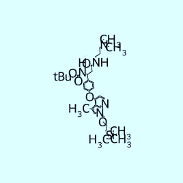 Cc1cn(COCC[Si](C)(C)C)c2nccc(Oc3ccc(C(CC(=O)NCCCN(C)C)NC(=O)OC(C)(C)C)cc3)c12